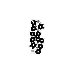 Cc1cc(N(c2ccc3c(c2)C(c2ccccc2)(c2ccccc2)c2cc(N(c4cc(C)c(C)c(C)c4)c4cccc5c4oc4c(C(C)(C)C)cccc45)c4ccccc4c2-3)c2cccc3c2oc2c(C(C)(C)C)cccc23)cc(C)c1C